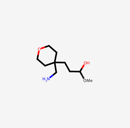 COC(O)CCC1(CN)CCOCC1